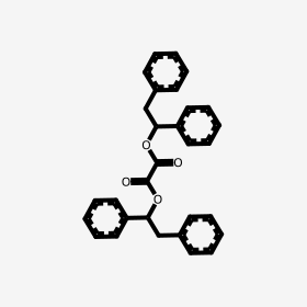 O=C(OC(Cc1ccccc1)c1ccccc1)C(=O)OC(Cc1ccccc1)c1ccccc1